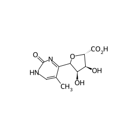 Cc1c[nH]c(=O)nc1C1O[C@H](C(=O)O)[C@@H](O)[C@H]1O